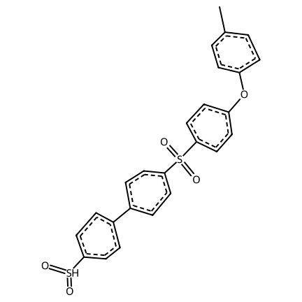 Cc1ccc(Oc2ccc(S(=O)(=O)c3ccc(-c4ccc([SH](=O)=O)cc4)cc3)cc2)cc1